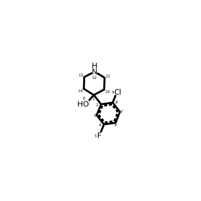 OC1(c2cc(F)ccc2Cl)CCNCC1